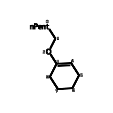 CCCCCCOC1=CCCCC1